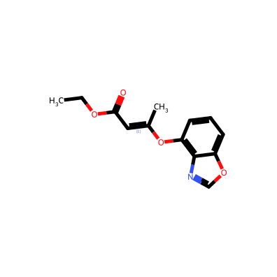 CCOC(=O)/C=C(\C)Oc1cccc2ocnc12